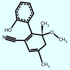 CO[C@]1(C)CC(C)=CC(C#N)=C1c1ccccc1O